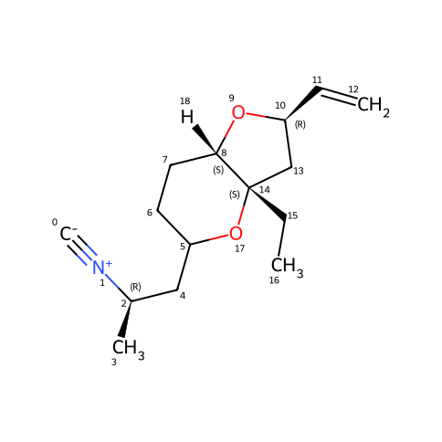 [C-]#[N+][C@H](C)CC1CC[C@@H]2O[C@@H](C=C)C[C@]2(CC)O1